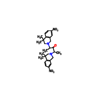 CC(C(=O)C(C)N1Cc2cc([N+](=O)[O-])ccc2C(C)(C)C1)N1Cc2cc([N+](=O)[O-])ccc2C(C)(C)C1